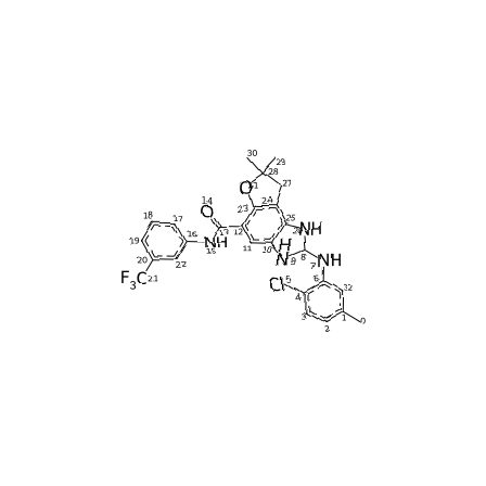 Cc1ccc(Cl)c(NC2Nc3cc(C(=O)Nc4cccc(C(F)(F)F)c4)c4c(c3N2)CC(C)(C)O4)c1